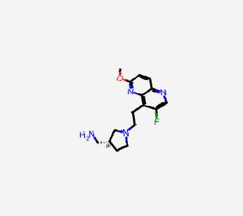 COc1ccc2ncc(F)c(CCN3CC[C@H](CN)C3)c2n1